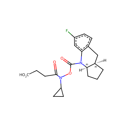 O=C(O)CCC(=O)N(OC(=O)N1c2cc(F)ccc2C[C@H]2CCC[C@H]21)C1CC1